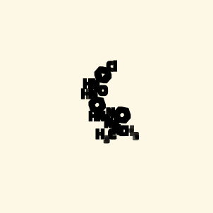 CN(C)c1nc(N[C@H]2CC[C@@H](NC(=O)Nc3ccc(Cl)cc3)CC2)nc2c1CCCC2